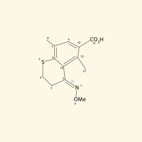 CO/N=C1\CCSc2c(C)cc(C(=O)O)c(C)c21